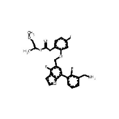 COCC(C)OC(=O)Cc1ccc(F)cc1OCc1cc(-c2cccc(CN)c2F)c2occc2c1F